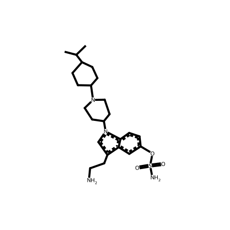 CC(C)C1CCC(N2CCC(n3cc(CCN)c4cc(OS(N)(=O)=O)ccc43)CC2)CC1